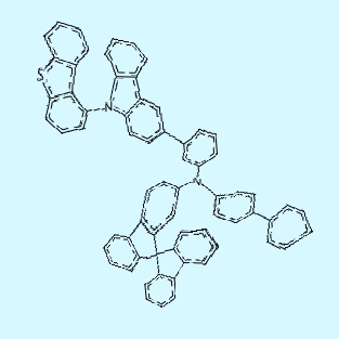 c1ccc(-c2ccc(N(c3cccc(-c4ccc5c(c4)c4ccccc4n5-c4cccc5sc6ccccc6c45)c3)c3ccc4c(c3)C3(c5ccccc5-c5ccccc53)c3ccccc3-4)cc2)cc1